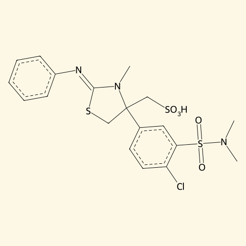 CN1C(=Nc2ccccc2)SCC1(CS(=O)(=O)O)c1ccc(Cl)c(S(=O)(=O)N(C)C)c1